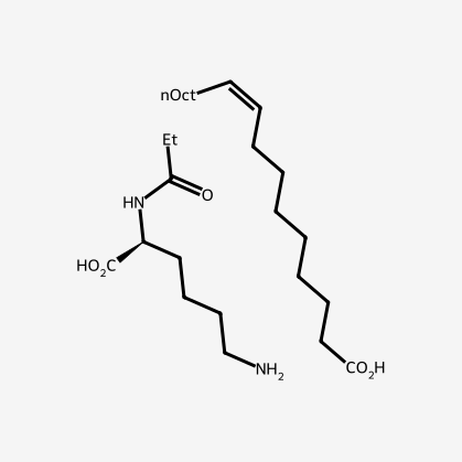 CCC(=O)N[C@@H](CCCCN)C(=O)O.CCCCCCCC/C=C\CCCCCCCC(=O)O